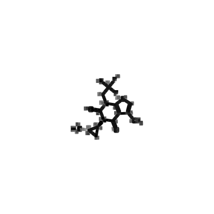 Cc1csc2c1c(=O)n([C@H]1C[C@@H]1C)c(=O)n2CC(F)(F)F